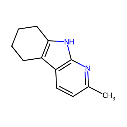 Cc1ccc2c3c([nH]c2n1)CCCC3